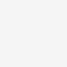 N#Cc1cccc(-n2c(=O)c3c(C4Cc5ccccc5-c5ccccc54)c4cc(-c5ccccc5)ccc4n3c3ccccc32)c1